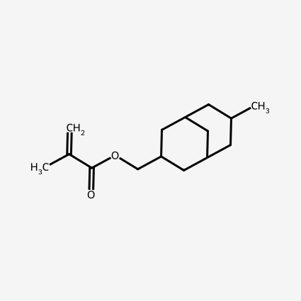 C=C(C)C(=O)OCC1CC2CC(C)CC(C1)C2